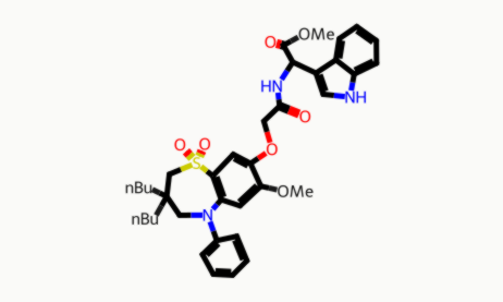 CCCCC1(CCCC)CN(c2ccccc2)c2cc(OC)c(OCC(=O)NC(C(=O)OC)c3c[nH]c4ccccc34)cc2S(=O)(=O)C1